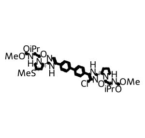 COC(=O)NC(C(=O)N1C[C@@H](SC)C[C@H]1c1ncc(-c2ccc(-c3ccc(-c4[nH]c([C@@H]5CCCN5C(=O)[C@@H](NC(=O)OC)C(C)C)nc4Cl)cc3)cc2)[nH]1)C(C)C